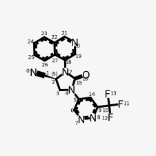 N#C[C@@H]1CN(c2cnnc(C(F)(F)F)c2)C(=O)N1c1cncc2ccccc12